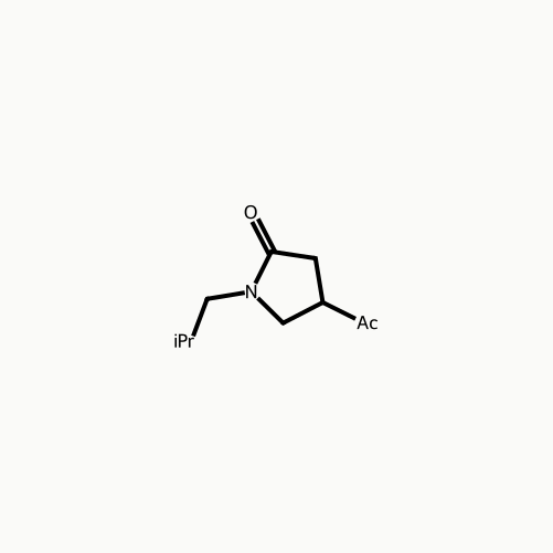 CC(=O)C1CC(=O)N(CC(C)C)C1